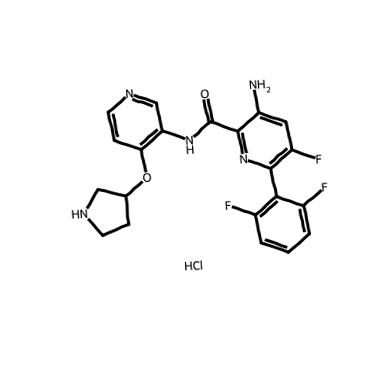 Cl.Nc1cc(F)c(-c2c(F)cccc2F)nc1C(=O)Nc1cnccc1OC1CCNC1